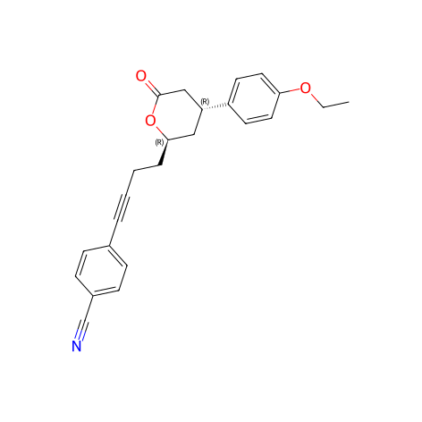 CCOc1ccc([C@H]2CC(=O)O[C@H](CCC#Cc3ccc(C#N)cc3)C2)cc1